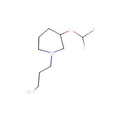 OCCCN1CCCC(OC(F)F)C1